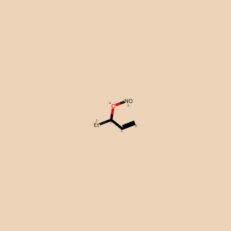 C=CC(CC)ON=O